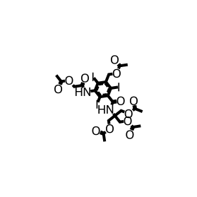 CC(=O)OCC(=O)Nc1c(I)c(COC(C)=O)c(I)c(C(=O)NC(COC(C)=O)(COC(C)=O)COC(C)=O)c1I